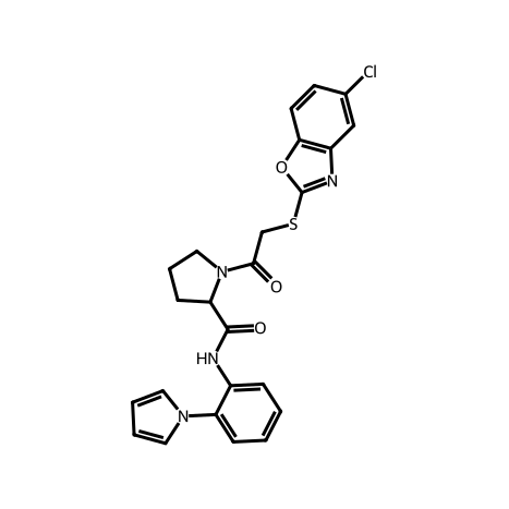 O=C(Nc1ccccc1-n1cccc1)C1CCCN1C(=O)CSc1nc2cc(Cl)ccc2o1